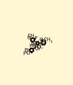 COc1cc(F)c([C@@H]2CN(c3c(C)ccn(C)c3=O)C(=O)[C@H]2NC(=O)c2ccc(OC(F)P)cc2)c(P)c1